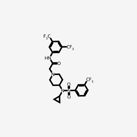 O=C(CN1CCC(N(C2CC2)S(=O)(=O)c2cccc(C(F)(F)F)c2)CC1)Nc1cc(C(F)(F)F)cc(C(F)(F)F)c1